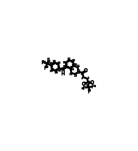 O=C(CCS(=O)(=O)C(F)(F)F)N1CCc2c(cccc2Nc2ccc(C(F)(F)F)cc2)C1